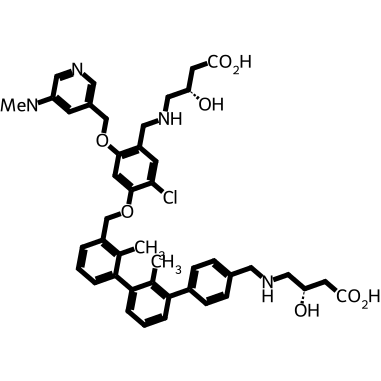 CNc1cncc(COc2cc(OCc3cccc(-c4cccc(-c5ccc(CNC[C@@H](O)CC(=O)O)cc5)c4C)c3C)c(Cl)cc2CNC[C@@H](O)CC(=O)O)c1